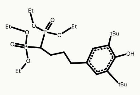 CCOP(=O)(OCC)C(CCCc1cc(C(C)(C)C)c(O)c(C(C)(C)C)c1)P(=O)(OCC)OCC